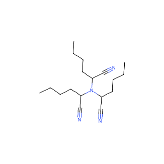 CCCCC(C#N)N(C(C#N)CCCC)C(C#N)CCCC